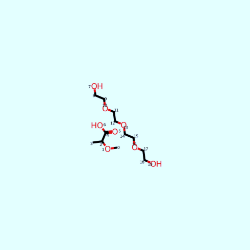 COC(C)C(=O)O.OCCOCCOCCOCCO